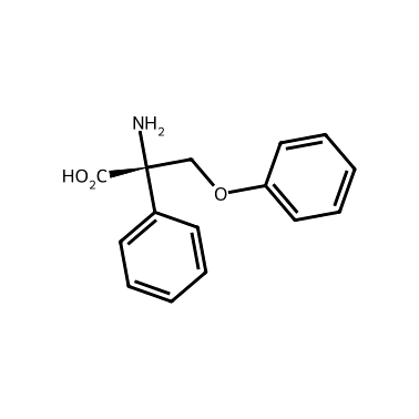 N[C@@](COc1ccccc1)(C(=O)O)c1ccccc1